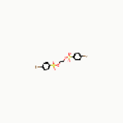 O=S(=O)(OCCOS(=O)(=O)c1ccc(Br)cc1)c1ccc(Br)cc1